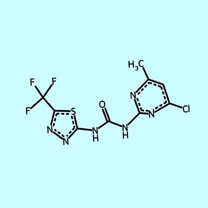 Cc1cc(Cl)nc(NC(=O)Nc2nnc(C(F)(F)F)s2)n1